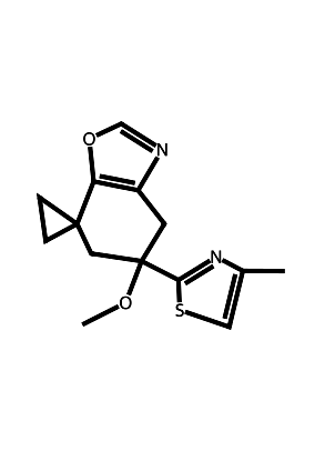 COC1(c2nc(C)cs2)Cc2ncoc2C2(CC2)C1